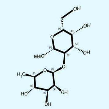 CO[C@@H]1O[C@H](CO)[C@H](O)[C@H](O)[C@H]1O[C@@H]1O[C@H](C)[C@@H](O)[C@H](O)[C@@H]1O